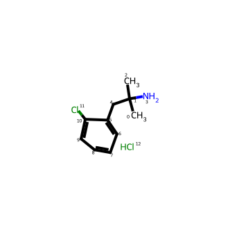 CC(C)(N)Cc1ccccc1Cl.Cl